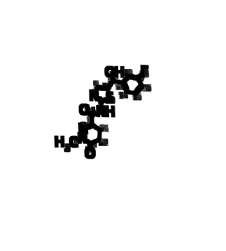 CN1N=C(C(=O)Nc2ncc(C(O)c3cccc(F)c3)s2)CCC1=O